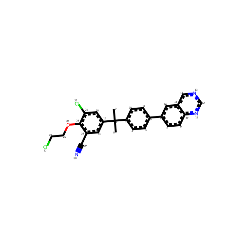 CC(C)(c1ccc(-c2ccc3ncncc3c2)cc1)c1cc(Cl)c(OCCCl)c(C#N)c1